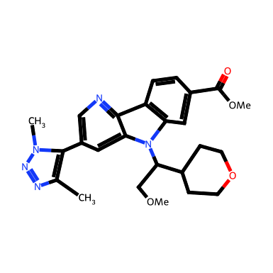 COCC(C1CCOCC1)n1c2cc(C(=O)OC)ccc2c2ncc(-c3c(C)nnn3C)cc21